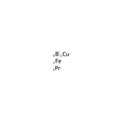 [B].[Cu].[Fe].[Pr]